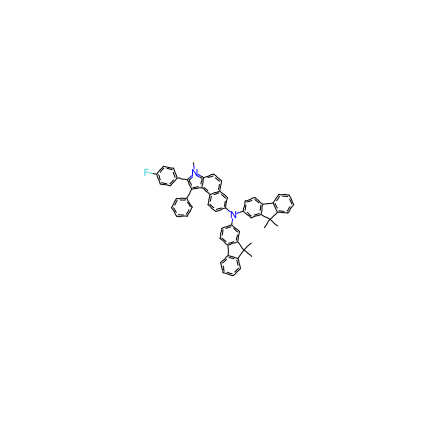 Cn1c(-c2ccc(F)cc2)c(-c2ccccc2)c2c3ccc(N(c4ccc5c(c4)C(C)(C)c4ccccc4-5)c4ccc5c(c4)C(C)(C)c4ccccc4-5)cc3ccc21